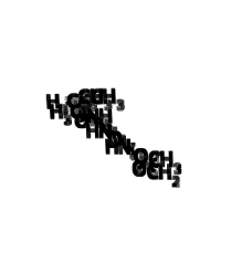 C=C(C)C(=O)OCCNCOCNCCNC(=O)C(C)(CCC)C(C)C